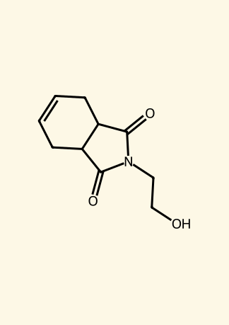 O=C1C2CC=CCC2C(=O)N1CCO